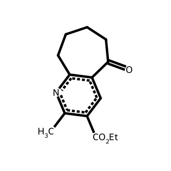 CCOC(=O)c1cc2c(nc1C)CCCCC2=O